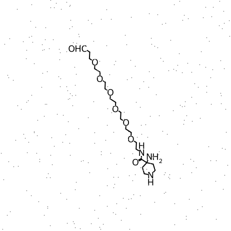 NC1(C(=O)NCCOCCOCCOCCOCCOCCOCCC=O)CCNCC1